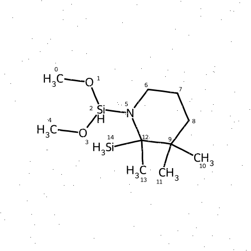 CO[SiH](OC)N1CCCC(C)(C)C1(C)[SiH3]